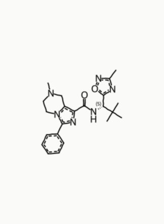 Cc1noc([C@@H](NC(=O)c2nc(-c3ccccc3)n3c2CN(C)CC3)C(C)(C)C)n1